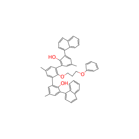 Cc1cc(-c2cc(C)cc(-c3cc(C)cc(-c4cccc5ccccc45)c3O)c2OCCCOc2ccccc2)c(O)c(-c2cccc3ccccc23)c1